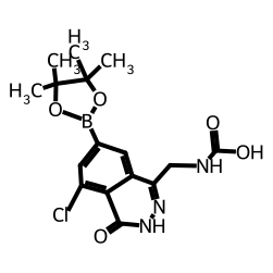 CC1(C)OB(c2cc(Cl)c3c(=O)[nH]nc(CNC(=O)O)c3c2)OC1(C)C